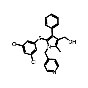 Cc1c(CO)c(-c2ccccc2)c(Sc2cc(Cl)cc(Cl)c2)n1Cc1ccncc1